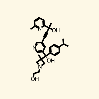 Cc1cccc(C(C)(O)C#Cc2cncc([C@@](O)(c3ccc(C(C)C)cc3)C3(C)CN(CCO)C3)c2)n1